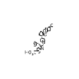 C[C@@]1(c2ccc(Cl)cn2)Oc2cccc(C3CCN(Cc4nc5sc(C(=O)O)cc5n4CC4CCO4)CC3)c2O1